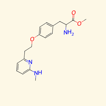 CNc1cccc(CCOc2ccc(CC(N)C(=O)OC)cc2)n1